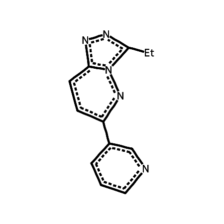 CCc1nnc2ccc(-c3cccnc3)nn12